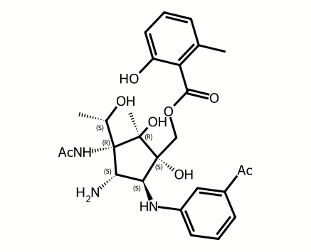 CC(=O)N[C@@]1([C@H](C)O)[C@@H](N)[C@H](Nc2cccc(C(C)=O)c2)[C@](O)(COC(=O)c2c(C)cccc2O)[C@]1(C)O